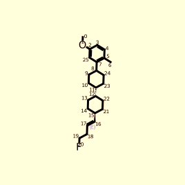 COc1ccc(C)c(C2CCC([C@H]3CC[C@H](/C=C/CCF)CC3)CC2)c1